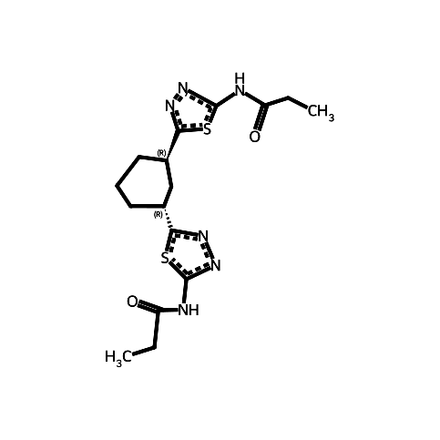 CCC(=O)Nc1nnc([C@@H]2CCC[C@@H](c3nnc(NC(=O)CC)s3)C2)s1